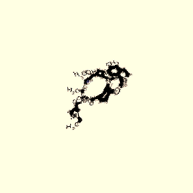 CCn1cc(C(=O)N[S@@]2(=O)=NC(=O)c3ccc4c(c3)N(C[C@@H]3CC[C@H]3[C@@H](OC)/C=C/C[C@H](C)C2)C[C@]2(CO4)SCCc3cc(C)ccc32)cn1